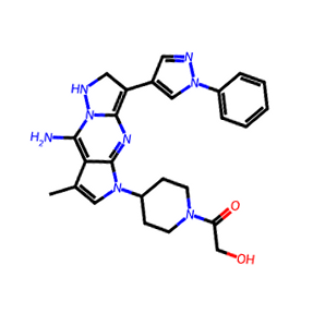 Cc1cn(C2CCN(C(=O)CO)CC2)c2c1=C(N)N1NCC(c3cnn(-c4ccccc4)c3)=C1N=2